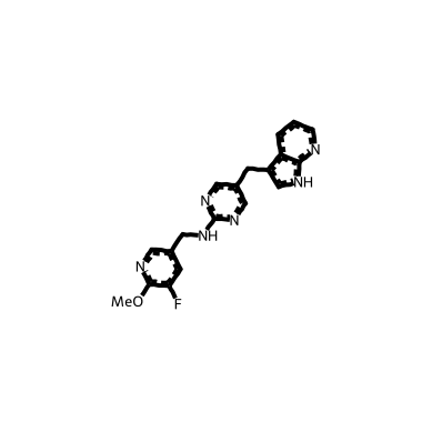 COc1ncc(CNc2ncc(Cc3c[nH]c4ncccc34)cn2)cc1F